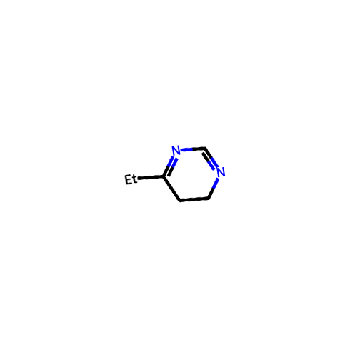 CCC1=NC=NCC1